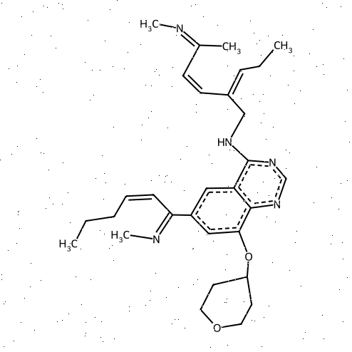 CC/C=C(/C=C\C(C)=N/C)CNc1ncnc2c(OC3CCOCC3)cc(C(/C=C\CCC)=N/C)cc12